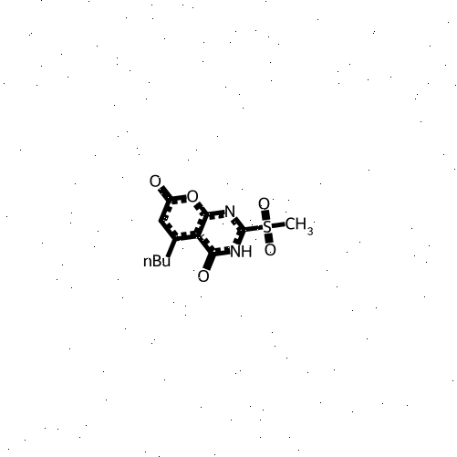 CCCCc1cc(=O)oc2nc(S(C)(=O)=O)[nH]c(=O)c12